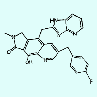 CN1Cc2c(c(O)c3ncc(Cc4ccc(F)cc4)cc3c2Cc2nc3ncccc3[nH]2)C1=O